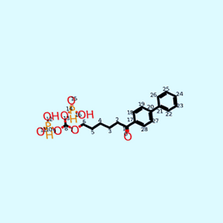 O=C(CCCCCOC(O[PH](=O)O)O[PH](=O)O)c1ccc(-c2ccccc2)cc1